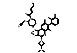 Cc1cccc(-c2c(C)cc3c(nc(N4CC(N(C)C)C4)c4nnn([C@H]5CCN(C(=O)/C=C/CF)[C@H](CC#N)C5)c43)c2F)c1C